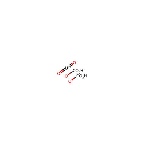 O=C([O-])O.O=C([O-])O.[O]=[U+2]=[O]